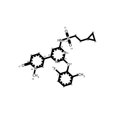 Cc1cccc(F)c1Oc1nc(NS(=O)(=O)CCC2CC2)cc(-c2ccc(=O)n(C)c2)n1